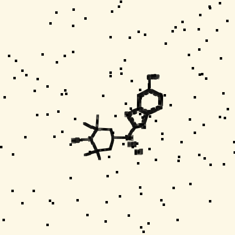 COc1ccc2nc(NC3CC(C)(C)N(O)C(C)(C)C3)sc2c1.Cl.Cl